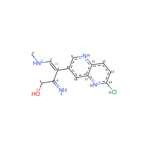 CN/C=C(\C(=N)CO)c1cnc2ccc(Cl)nc2c1